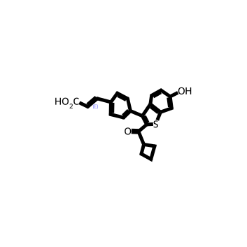 O=C(O)/C=C/c1ccc(-c2c(C(=O)C3CCC3)sc3cc(O)ccc23)cc1